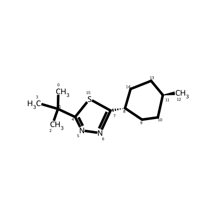 CC(C)(C)c1nnc([C@H]2CC[C@H](C)CC2)s1